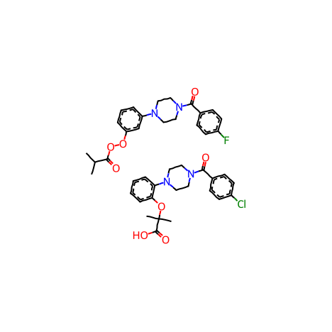 CC(C)(Oc1ccccc1N1CCN(C(=O)c2ccc(Cl)cc2)CC1)C(=O)O.CC(C)C(=O)OOc1cccc(N2CCN(C(=O)c3ccc(F)cc3)CC2)c1